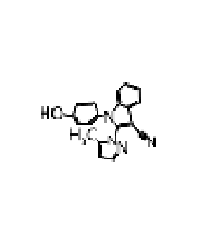 Cc1ccnn1-c1c(C#N)c2ccccc2n1-c1ccc(O)cc1